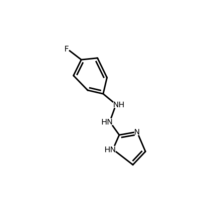 Fc1ccc(NNc2ncc[nH]2)cc1